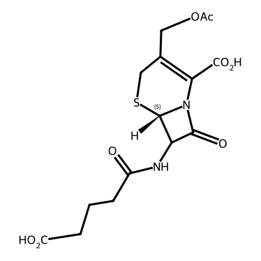 CC(=O)OCC1=C(C(=O)O)N2C(=O)C(NC(=O)CCCC(=O)O)[C@@H]2SC1